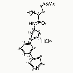 CSCCC(N)C(=O)Nc1nc(-c2cccc(-c3ccncc3)c2)cs1.Cl